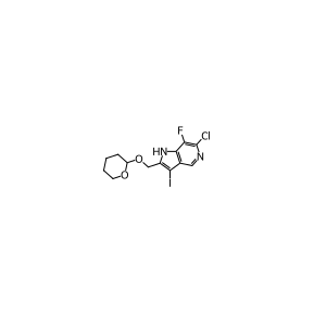 Fc1c(Cl)ncc2c(I)c(COC3CCCCO3)[nH]c12